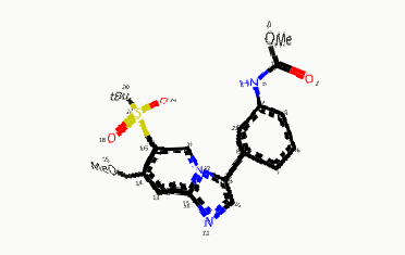 COC(=O)Nc1cccc(-c2cnc3cc(OC)c(S(=O)(=O)C(C)(C)C)cn23)c1